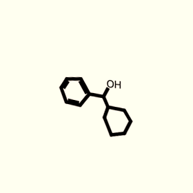 OC(c1ccccc1)C1CCCCC1